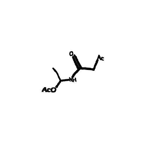 CC(=O)CC(=O)NC(C)OC(C)=O